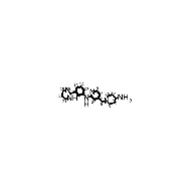 NC1CCN(Cc2ccnc(Nc3cccc(C4=NCCCN4)c3)c2)CC1